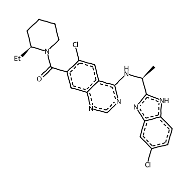 CC[C@H]1CCCCN1C(=O)c1cc2ncnc(N[C@@H](C)c3nc4cc(Cl)ccc4[nH]3)c2cc1Cl